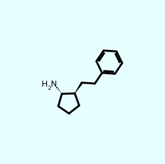 N[C@H]1CCC[C@@H]1CCc1ccccc1